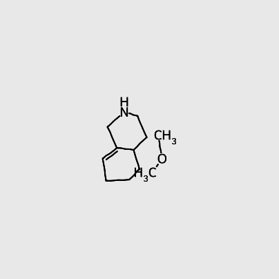 C1=C2CNCCC2CCC1.COC